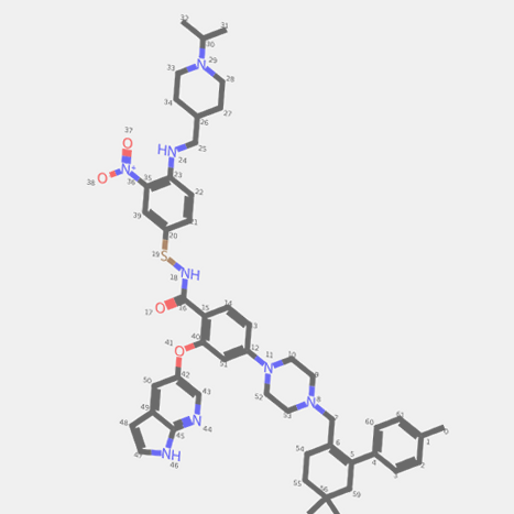 Cc1ccc(C2=C(CN3CCN(c4ccc(C(=O)NSc5ccc(NCC6CCN(C(C)C)CC6)c([N+](=O)[O-])c5)c(Oc5cnc6[nH]ccc6c5)c4)CC3)CCC(C)(C)C2)cc1